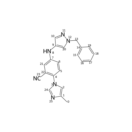 Cc1cn(-c2ccc(Nc3cnn(Cc4ccccc4)c3)cc2C#N)cn1